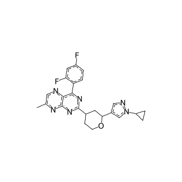 Cc1cnc2c(-c3ccc(F)cc3F)nc(C3CCOC(c4cnn(C5CC5)c4)C3)nc2n1